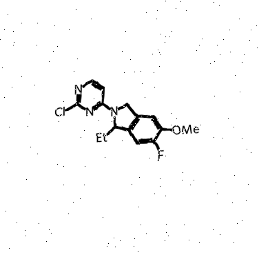 CCC1c2cc(F)c(OC)cc2CN1c1ccnc(Cl)n1